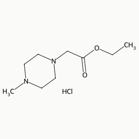 CCOC(=O)CN1CCN(C)CC1.Cl